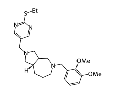 CCSc1ncc(CN2CC3CN(Cc4cccc(OC)c4OC)CCC[C@@H]3C2)cn1